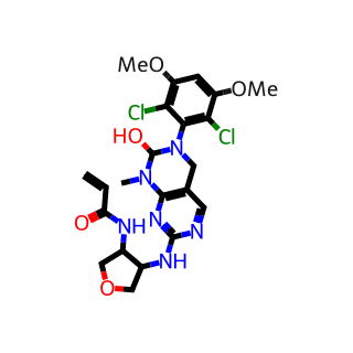 C=CC(=O)NC1COCC1Nc1ncc2c(n1)N(C)C(O)N(c1c(Cl)c(OC)cc(OC)c1Cl)C2